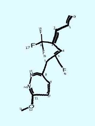 C=C/C=C(\C=C(\F)Cc1ccc(OC)nn1)C(F)(F)F